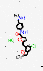 CCNCc1ccc(NC(=O)c2ccc(Cc3cc(Cl)cc4cc(C(C)C)oc34)o2)cc1.Cl